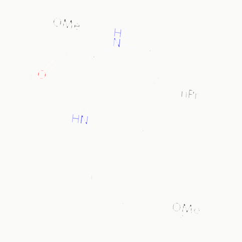 CCCC1CNC(C(=O)OC)c2[nH]c3ccc(OC)cc3c21